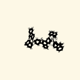 CC1(C)c2ccccc2-c2ccc(N(C3=Cc4c(c5sc6cc(N(c7ccc8c(c7)C(C)(C)c7ccccc7-8)c7cccc8ccccc78)ccc6c5c5ccccc45)CC3)c3cccc4ccccc34)cc21